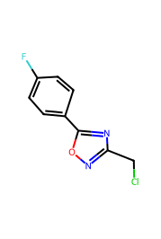 Fc1ccc(-c2nc(CCl)no2)cc1